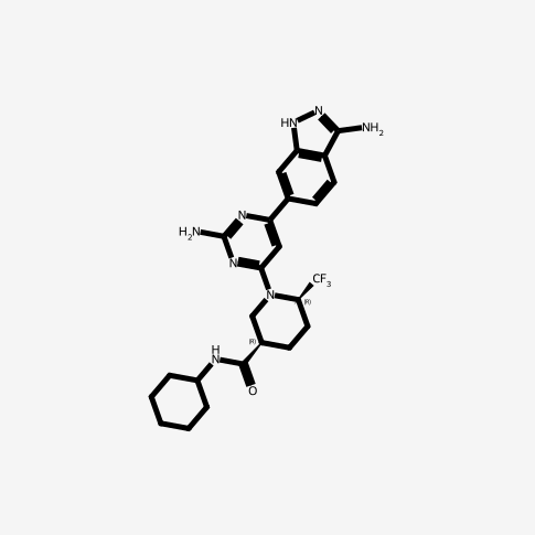 Nc1nc(-c2ccc3c(N)n[nH]c3c2)cc(N2C[C@H](C(=O)NC3CCCCC3)CC[C@@H]2C(F)(F)F)n1